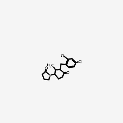 CC1C(Cc2ccc(Cl)cc2Cl)C(=O)CCC1N1CCCC1=O